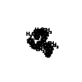 CC1(C)c2cc(N(c3ccc(-c4cccc5c4Oc4c(ccc6c4-c4ccccc4C6(C)C)[Si]5(C)C)cc3)c3ccc4c(c3)C(C)(C)c3ccc5c(c3-4)Sc3ccccc3S5)ccc2-c2c1ccc1c2Oc2ccccc2O1